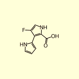 O=C(O)c1[nH]cc(F)c1-c1ccc[nH]1